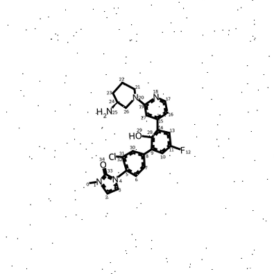 Cn1ccn(-c2ccc(-c3cc(F)cc(-c4ccnc(N5CCC[C@H](N)C5)c4)c3O)cc2Cl)c1=O